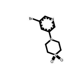 O=S1(=O)CCN(c2cncc(Br)c2)CC1